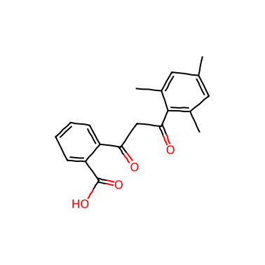 Cc1cc(C)c(C(=O)CC(=O)c2ccccc2C(=O)O)c(C)c1